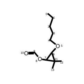 CCCCCOC1C(OC=O)C1(C)C